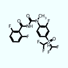 CN(C(=O)NC(=O)c1c(F)cccc1F)c1ccc([SH](=O)(C(F)F)C(F)F)cc1F